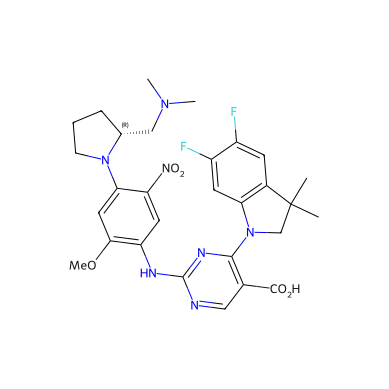 COc1cc(N2CCC[C@@H]2CN(C)C)c([N+](=O)[O-])cc1Nc1ncc(C(=O)O)c(N2CC(C)(C)c3cc(F)c(F)cc32)n1